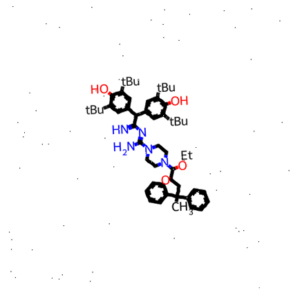 CCOC(C(=O)CC(C)(c1ccccc1)c1ccccc1)N1CCN(/C(N)=N/C(=N)C(c2cc(C(C)(C)C)c(O)c(C(C)(C)C)c2)c2cc(C(C)(C)C)c(O)c(C(C)(C)C)c2)CC1